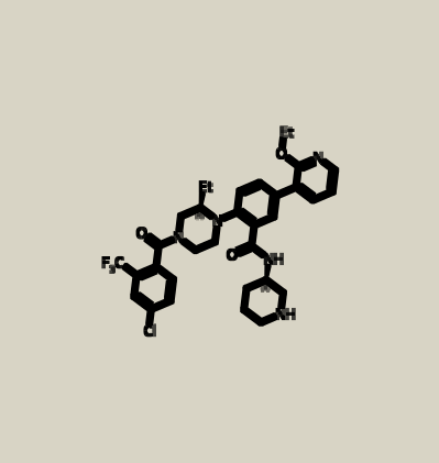 CCOc1ncccc1-c1ccc(N2CCN(C(=O)c3ccc(Cl)cc3C(F)(F)F)C[C@H]2CC)c(C(=O)N[C@@H]2CCCNC2)c1